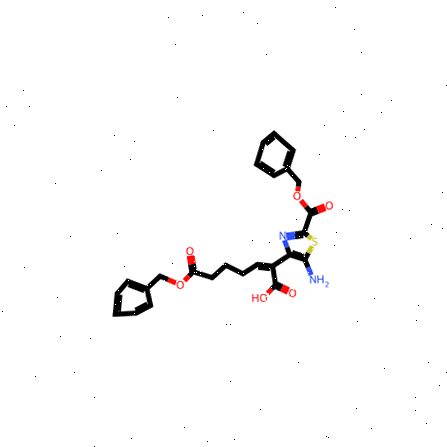 Nc1sc(C(=O)OCc2ccccc2)nc1C(=CCCCC(=O)OCc1ccccc1)C(=O)O